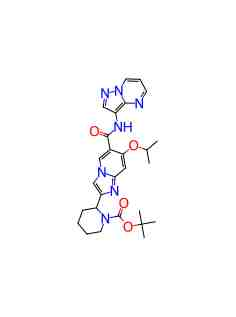 CC(C)Oc1cc2nc(C3CCCCN3C(=O)OC(C)(C)C)cn2cc1C(=O)Nc1cnn2cccnc12